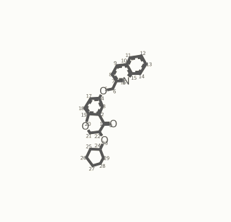 O=C1c2cc(OCc3ccc4ccccc4n3)ccc2OCC1OC1CCCCC1